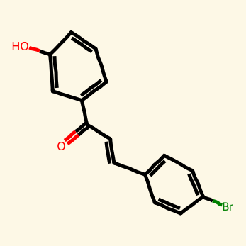 O=C(/C=C/c1ccc(Br)cc1)c1cccc(O)c1